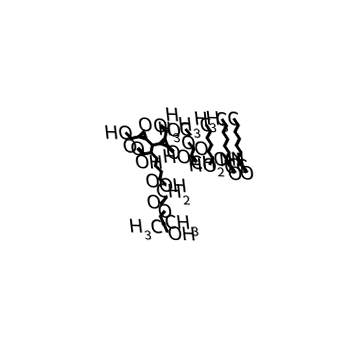 C=C(O)C(=O)OCC.C=CC(=O)OCC(C)(C)CO.CCCCCC(O)O.CCCCCCN=C=O.CCCCCCN=C=O.O=C(O)CCCC(C(=O)O)C(c1c(C(=O)O)c1=O)c1c(C(=O)O)c1=O